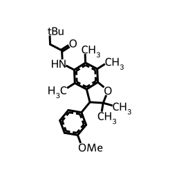 COc1cccc(C2c3c(C)c(NC(=O)CC(C)(C)C)c(C)c(C)c3OC2(C)C)c1